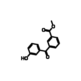 COC(=O)c1cccc(C(=O)c2cccc(O)c2)c1